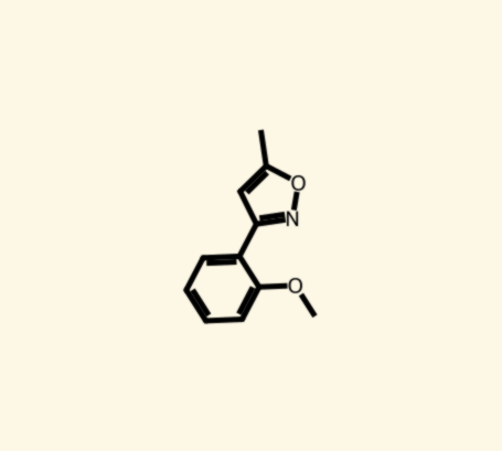 COc1ccccc1-c1cc(C)on1